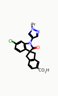 CC(C)n1cc(N2C(=O)C3(Cc4ccc(C(=O)O)cc4C3)c3ccc(Cl)cc32)cn1